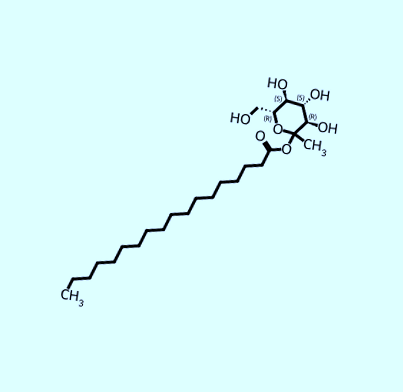 CCCCCCCCCCCCCCCCCC(=O)OC1(C)O[C@H](CO)[C@@H](O)[C@H](O)[C@H]1O